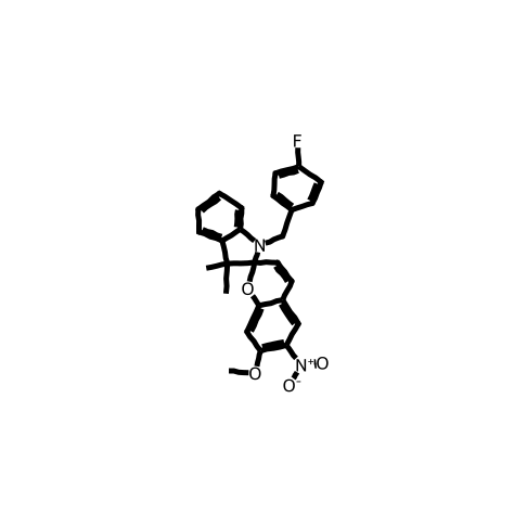 COc1cc2c(cc1[N+](=O)[O-])C=CC1(O2)N(Cc2ccc(F)cc2)c2ccccc2C1(C)C